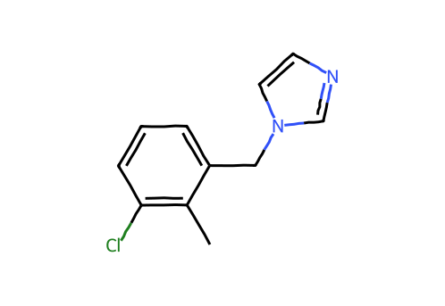 Cc1c(Cl)cccc1Cn1ccnc1